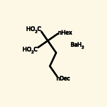 CCCCCCCCCCCCC(CCCCCC)(C(=O)O)C(=O)O.[BaH2]